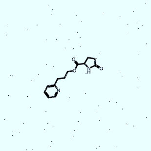 O=C1CCC(C(=O)OCCCc2ccccn2)N1